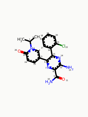 CC(C)n1cc(-c2nc(C(N)=O)c(N)nc2-c2ccccc2Cl)ccc1=O